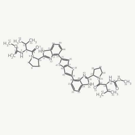 C=C(N[C@H](C(=O)N1CCCC1c1nc2c(-c3cc4sc(-c5cccc6[nH]c(C7CCCN7C(=O)[C@@H](NC(=O)OC)C(C)C)nc56)cc4s3)cccc2[nH]1)C(C)C)OC